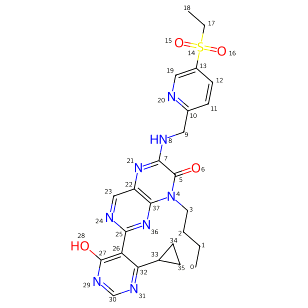 CCCCn1c(=O)c(NCc2ccc(S(=O)(=O)CC)cn2)nc2cnc(-c3c(O)ncnc3C3CC3)nc21